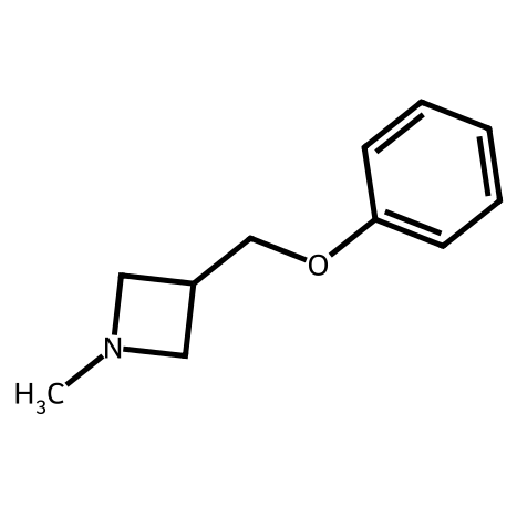 CN1CC(COc2ccccc2)C1